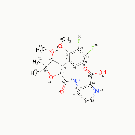 COc1c(C2C(C(=O)Nc3cccnc3C(=O)O)OC(C)(C)C2OC)ccc(F)c1F